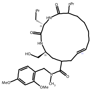 CCCC1CCCC/C=C/CC(C(=O)N(C)Cc2ccc(OC)cc2OC)C[C@@H](CO)NC(=O)[C@H](CC(C)C)NC1=O